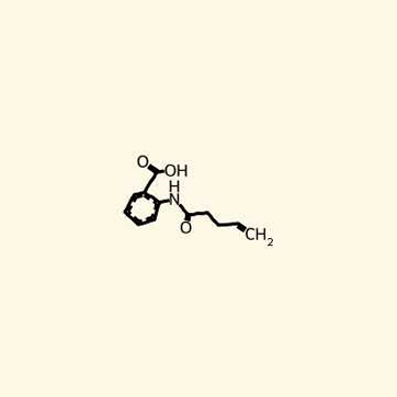 C=CCCC(=O)Nc1ccccc1C(=O)O